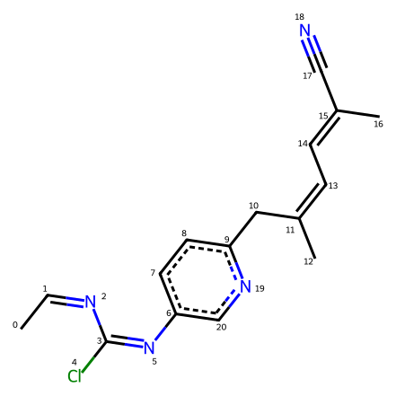 C/C=N\C(Cl)=N/c1ccc(C/C(C)=C\C=C(/C)C#N)nc1